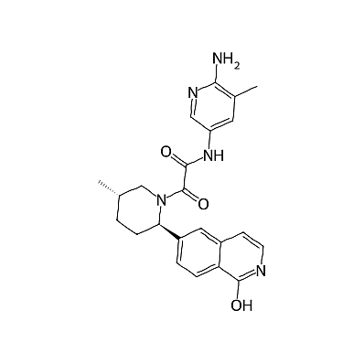 Cc1cc(NC(=O)C(=O)N2C[C@@H](C)CC[C@@H]2c2ccc3c(O)nccc3c2)cnc1N